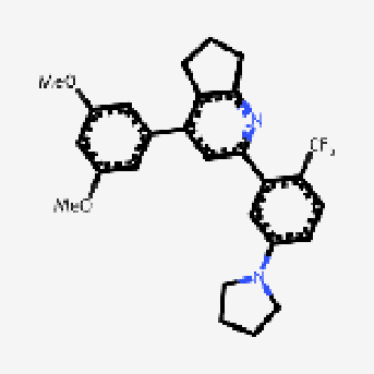 COc1cc(OC)cc(-c2cc(-c3cc(N4CCCC4)ccc3C(F)(F)F)nc3c2CCC3)c1